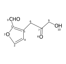 O=Cc1occc1CC(=O)CO